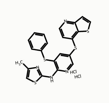 Cc1csc(Nc2ncc(Sc3ccnc4ccsc34)cc2Sc2ccccc2)n1.Cl.Cl